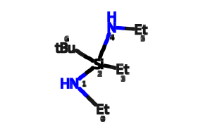 CCN[Si](CC)(NCC)C(C)(C)C